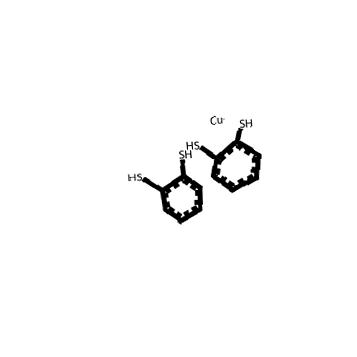 Sc1ccccc1S.Sc1ccccc1S.[Cu]